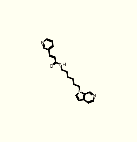 O=C(/C=C/c1cccnc1)NCCCCCCn1ccc2ccncc21